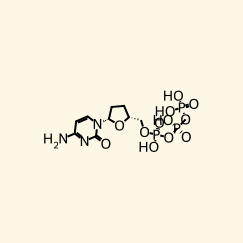 Nc1ccn([C@@H]2CC[C@H](COP(=O)(O)OP(=O)(O)OP(=O)(O)O)O2)c(=O)n1